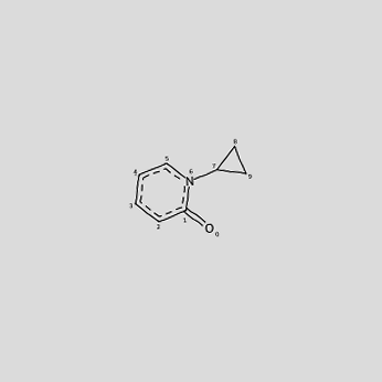 O=c1cc[c]cn1C1CC1